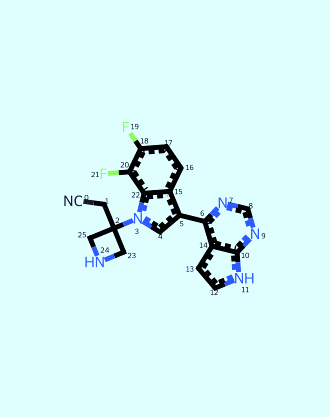 N#CCC1(n2cc(-c3ncnc4[nH]ccc34)c3ccc(F)c(F)c32)CNC1